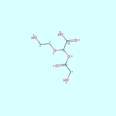 O=C(CO)OC(OCCO)C(=O)O